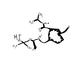 CC(C)NC(=O)c1cc(F)ccc1CNC(=O)OC(C)(C)C